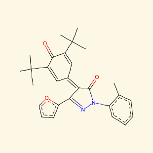 Cc1ccccc1N1N=C(c2ccco2)C(=C2C=C(C(C)(C)C)C(=O)C(C(C)(C)C)=C2)C1=O